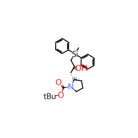 CC(C)(C)OC(=O)N1CCC[C@H]1C[C@@H](O)C[Si](C)(c1ccccc1)c1ccccc1